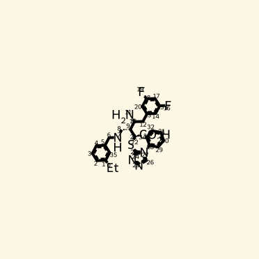 CCc1cccc(CNC[C@H](C(N)Cc2cc(F)cc(F)c2)[C@H](Sc2nncn2-c2ccccc2)C(=O)O)c1